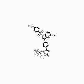 Cc1ccc(S(=O)(=O)n2cc(-c3ccc(C(=O)N(C)CC(C)(C)O)cc3)c3nc(Br)cnc32)cc1